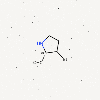 CCC1CCN[C@H]1[C]=O